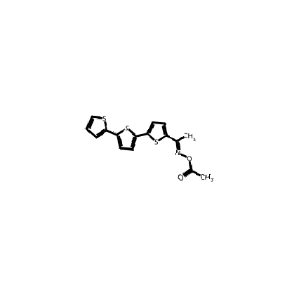 CC(=O)O/N=C(\C)c1ccc(-c2ccc(-c3cccs3)s2)s1